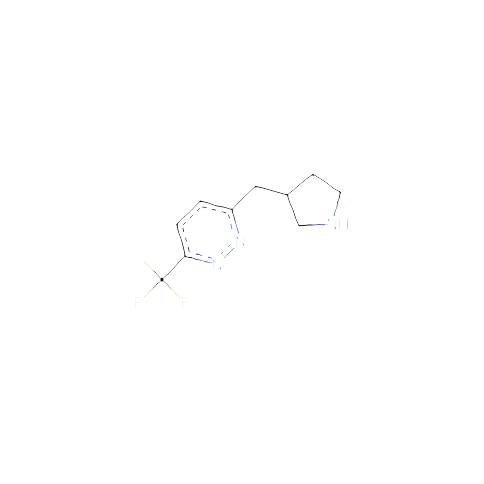 FC(F)(F)c1ccc(CC2CCNC2)nn1